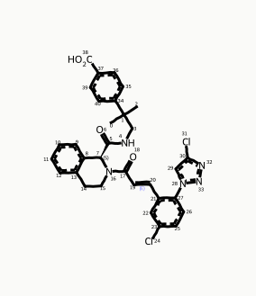 CC(C)(CNC(=O)[C@@H]1c2ccccc2CCN1C(=O)/C=C/c1cc(Cl)ccc1-n1cc(Cl)nn1)c1ccc(C(=O)O)cc1